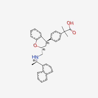 C[C@@H](NC[C@H]1C[C@H](c2ccc(C(C)(C)C(=O)O)cc2)c2ccccc2O1)c1cccc2ccccc12